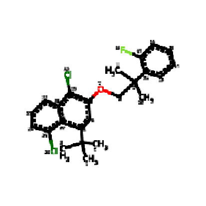 CC(C)(C)c1cc(OCC(C)(C)c2ccccc2F)c(Cl)c2cccc(Cl)c12